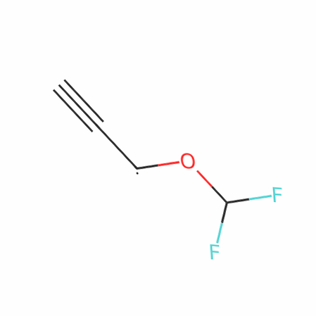 C#C[CH]OC(F)F